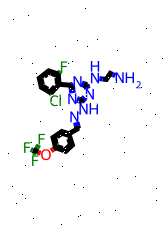 NCCNc1nc(NN=Cc2ccc(OC(F)(F)F)cc2)nc(-c2c(F)cccc2Cl)n1